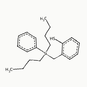 CCCC[Si](CCCC)(Cc1ccccc1S)c1ccccc1